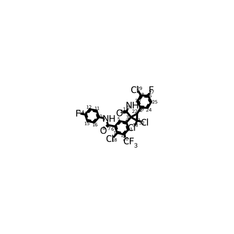 NC(=O)C1(c2cc(C(=O)Nc3ccc(F)cc3)c(Cl)c(C(F)(F)F)c2)C(c2ccc(F)c(Cl)c2)C1(Cl)Cl